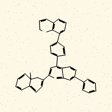 CC12C=CC=CC1=CC=C(c1cc(-c3ccc(-c4cccc5c4NCC=C5)cc3)c3ccc(-c4ccccc4)cc3n1)C2